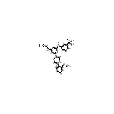 CCOc1nc(Nc2cccc(C(F)(F)F)c2)nc(N2CCN(c3ccccc3OC)CC2)n1